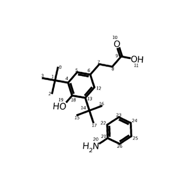 CC(C)(C)c1cc(CCC(=O)O)cc(C(C)(C)C)c1O.Nc1ccccc1